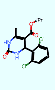 CC1=C(C(=O)OC(C)C)C(c2c(Cl)cccc2Cl)NC(=O)N1